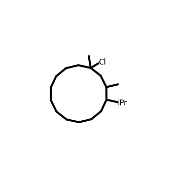 CC(C)C1CCCCCCCCCCC(C)(Cl)CC1C